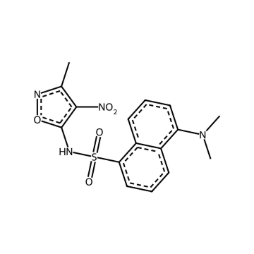 Cc1noc(NS(=O)(=O)c2cccc3c(N(C)C)cccc23)c1[N+](=O)[O-]